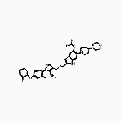 Cc1cc(Oc2ccccc2F)ccc1-n1ncc(COCc2cc3cc(OC(F)F)c(N4CCC(N5CCOCC5)CC4)cc3[nH]2)c1N